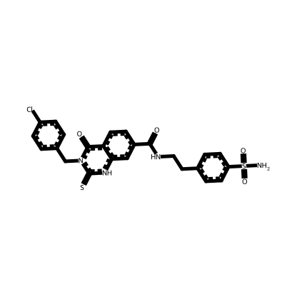 NS(=O)(=O)c1ccc(CCNC(=O)c2ccc3c(=O)n(Cc4ccc(Cl)cc4)c(=S)[nH]c3c2)cc1